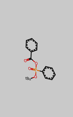 CC(C)(C)OP(=O)(OC(=O)c1ccccc1)c1ccccc1